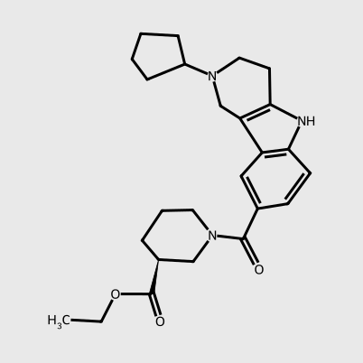 CCOC(=O)[C@H]1CCCN(C(=O)c2ccc3[nH]c4c(c3c2)CN(C2CCCC2)CC4)C1